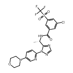 C[C@H](NC(=O)c1cc(Cl)cc(S(=O)(=O)C(F)(F)F)c1)c1ncnn1-c1ccc(N2CCOCC2)cn1